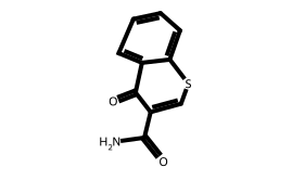 NC(=O)c1csc2ccccc2c1=O